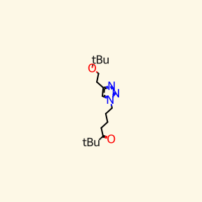 CC(C)(C)OCCc1cn(CCCCC(=O)C(C)(C)C)nn1